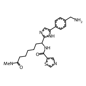 CNC(=O)CCCCCC(NC(=O)c1cncs1)c1ncc(-c2ccc(CN)cc2)[nH]1